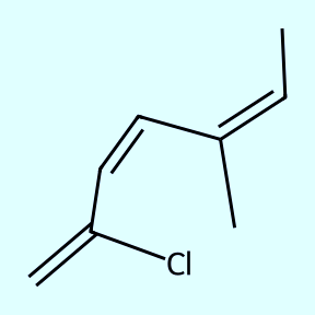 C=C(Cl)/C=C\C(C)=C/C